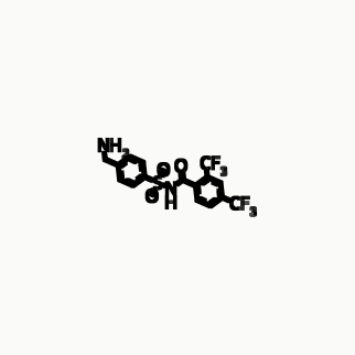 NCc1ccc(S(=O)(=O)NC(=O)c2ccc(C(F)(F)F)cc2C(F)(F)F)cc1